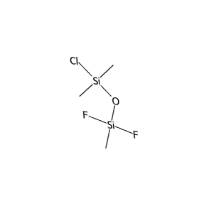 C[Si](F)(F)O[Si](C)(C)Cl